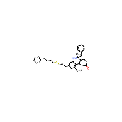 CC(=O)Oc1cc(CCCSCCCCc2ccccc2)cc2c1C1CC(=O)CCC1C(C)(Cc1ccccc1)N2